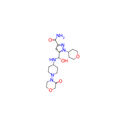 NC(=O)c1cc(C(O)NC2CCN(N3CCOCC3=O)CC2)n(C2CCOCC2)n1